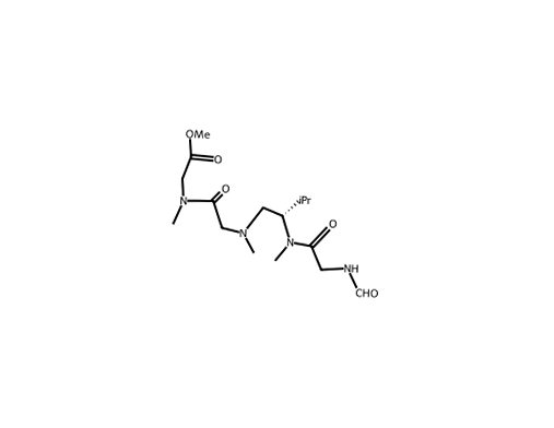 COC(=O)CN(C)C(=O)CN(C)C[C@H](C(C)C)N(C)C(=O)CNC=O